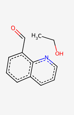 CCO.O=Cc1cccc2cccnc12